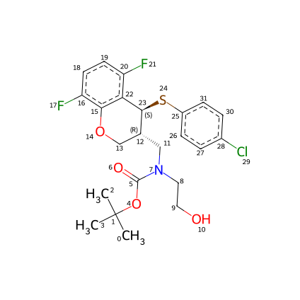 CC(C)(C)OC(=O)N(CCO)C[C@@H]1COc2c(F)ccc(F)c2[C@H]1Sc1ccc(Cl)cc1